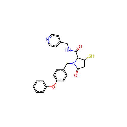 O=C(NCc1ccncc1)C1C(S)CC(=O)N1Cc1ccc(Oc2ccccc2)cc1